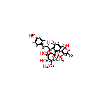 CC1([C@]2(c3cc(O)cc(O)c3C(=O)CCc3ccc(O)cc3)O[C@H](CO)[C@@H](O)[C@H](O)[C@H]2O)OC2=C(O1)C(=O)OC2